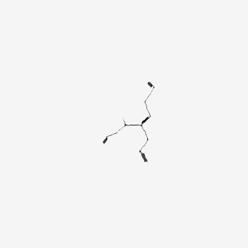 C=CCC=C(CC=C)[C](O)CC=C